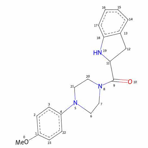 COc1ccc(N2CCN(C(=O)C3Cc4ccccc4N3)CC2)cc1